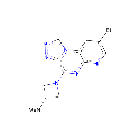 CCc1cnc2nc(N3CC(NC)C3)c3nncn3c2c1